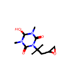 CN1C(=O)N(C(C)(C)CC2CO2)C(=O)N(C)C1O